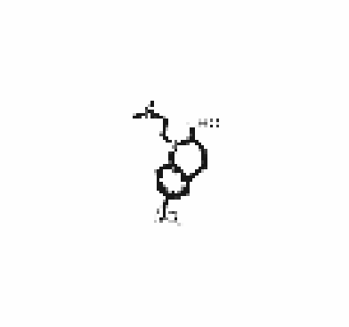 CN(C)CCN1c2ccc([N+](=O)[O-])cc2CCC1C=O